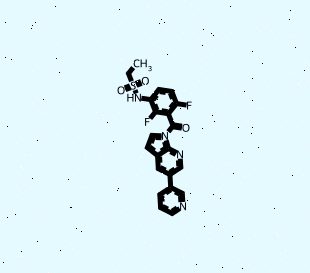 CCS(=O)(=O)Nc1ccc(F)c(C(=O)n2ccc3cc(-c4cccnc4)cnc32)c1F